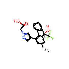 Cc1cc(-c2cnn(CC(=O)O)c2)c2c(c1)[C@@](O)(C(F)(F)F)c1ccccc1-2